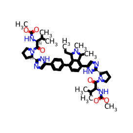 CCC1c2c(-c3ccc(-c4cnc([C@@H]5CCCN5C(=O)[C@@H](NC(=O)OC)C(C)C)[nH]4)cc3)ccc(-c3cnc([C@@H]4CCCN4C(=O)[C@@H](NC(=O)OC)C(C)C)[nH]3)c2C(C)N1C